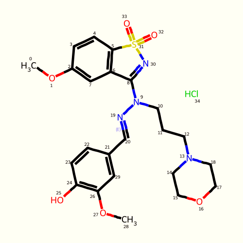 COc1ccc2c(c1)C(N(CCCN1CCOCC1)/N=C/c1ccc(O)c(OC)c1)=NS2(=O)=O.Cl